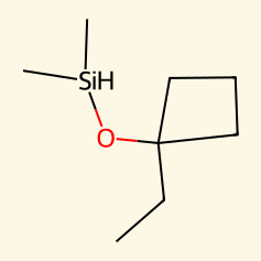 CCC1(O[SiH](C)C)CCC1